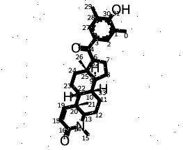 Cc1cc(C(=O)C2CC[C@H]3[C@@H]4CCC5N(C)C(=O)C=C[C@]5(C)[C@@H]4CC[C@]23C)cc(C)c1O